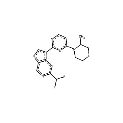 CC1COCCN1c1ccnc(-c2cnc3cnc(C(F)F)cn23)n1